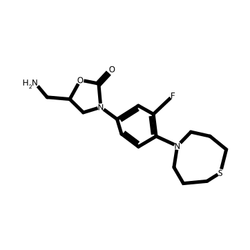 NCC1CN(c2ccc(N3CCCSCCC3)c(F)c2)C(=O)O1